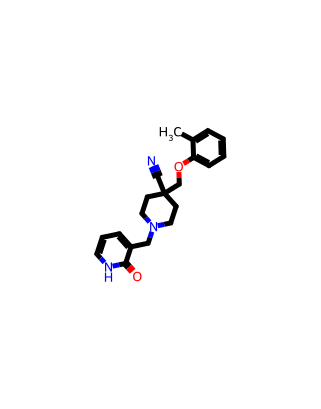 Cc1ccccc1OCC1(C#N)CCN(Cc2ccc[nH]c2=O)CC1